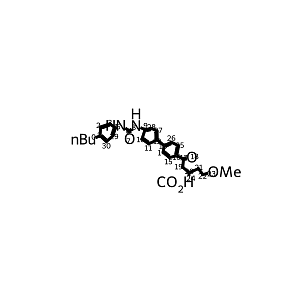 CCCCc1ccc(NC(=O)Nc2ccc(-c3ccc(C(=O)CC(CCOC)C(=O)O)cc3)cc2)cc1